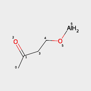 CC(=O)CC[O][AlH2]